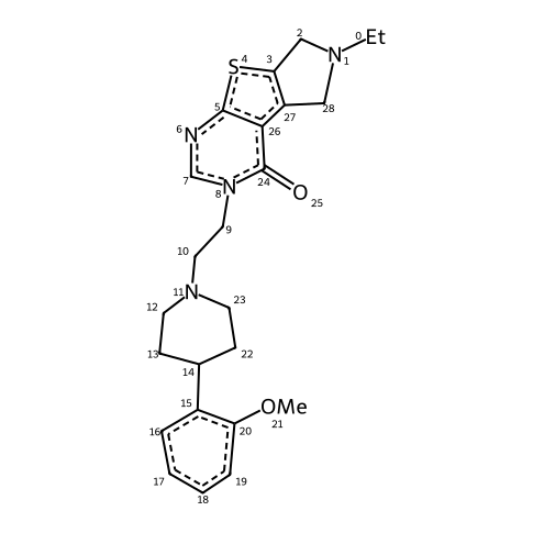 CCN1Cc2sc3ncn(CCN4CCC(c5ccccc5OC)CC4)c(=O)c3c2C1